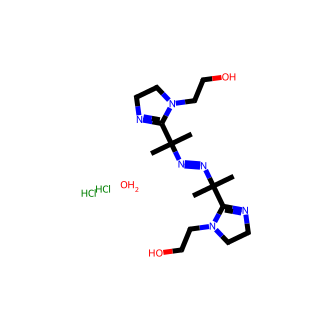 CC(C)(/N=N/C(C)(C)C1=NCCN1CCO)C1=NCCN1CCO.Cl.Cl.O